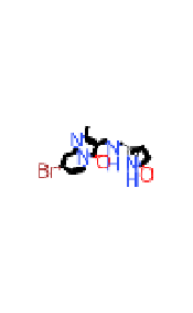 Cc1nc2cc(Br)ccn2c(=O)c1CNC[C@@H]1CCC(=O)N1